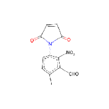 Cc1ccc(N2C(=O)C=CC2=O)c([N+](=O)[O-])c1C=O